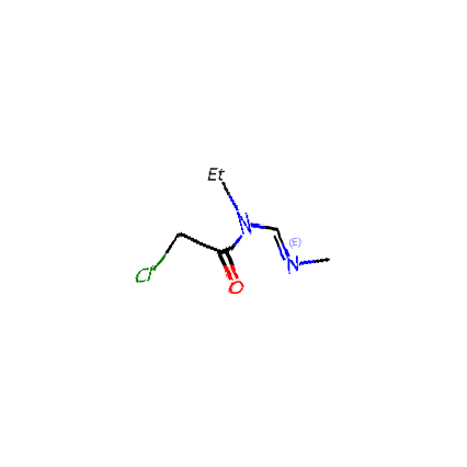 CCN(/C=N/C)C(=O)CCl